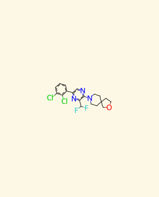 FC(F)c1nc(-c2cccc(Cl)c2Cl)cnc1N1CCC2(CCOC2)CC1